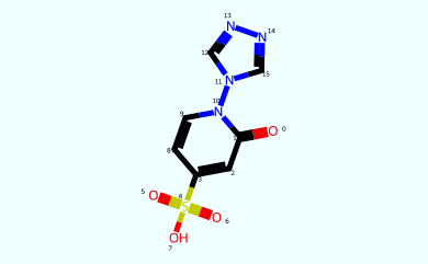 O=c1cc(S(=O)(=O)O)ccn1-n1cnnc1